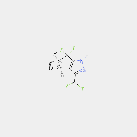 Cn1nc(C(F)F)c2c1C(F)(F)[C@@H]1C#C[C@H]21